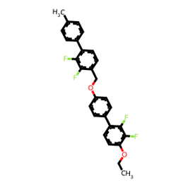 CCOc1ccc(-c2ccc(OCc3ccc(-c4ccc(C)cc4)c(F)c3F)cc2)c(F)c1F